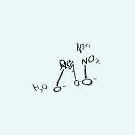 O.O=[N+]([O-])[O-].O=[N+]([O-])[O-].O=[N+]([O-])[O-].[N+3]